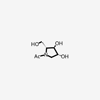 CC(=O)N1C[C@@H](O)[C@H](O)[C@H]1CO